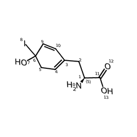 N[C@@H](CC1=CCC(O)(I)C=C1)C(=O)O